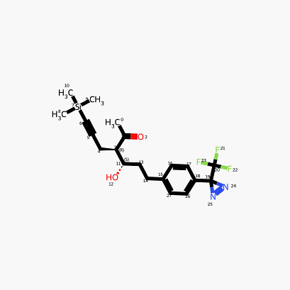 CC(=O)[C@H](CC#C[Si](C)(C)C)[C@@H](O)CCc1ccc(C2(C(F)(F)F)N=N2)cc1